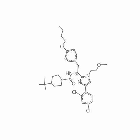 CCCCOc1ccc(C[C@H](NC(=O)C2CCC(C(C)(C)C)CC2)c2nc(-c3ccc(Cl)cc3Cl)cn2CCOC)cc1